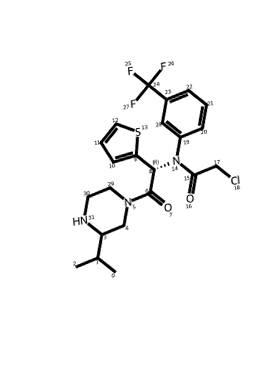 CC(C)C1CN(C(=O)[C@H](c2cccs2)N(C(=O)CCl)c2cccc(C(F)(F)F)c2)CCN1